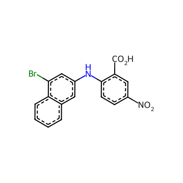 O=C(O)c1cc([N+](=O)[O-])ccc1Nc1cc(Br)c2ccccc2c1